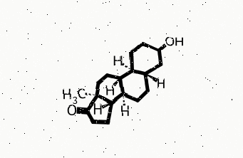 C[C@]12CC[C@H]3[C@@H](CC[C@H]4CC(O)CC[C@@H]43)[C@@H]1CCC2=O